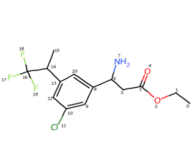 CCOC(=O)CC(N)c1cc(Cl)cc(C(C)C(F)(F)F)c1